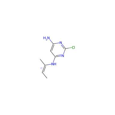 C/C=C(/C)Nc1cc(N)nc(Cl)n1